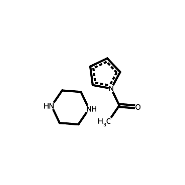 C1CNCCN1.CC(=O)n1cccc1